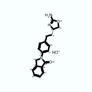 Cl.NC1=N[C@@H](CCc2ccc(N3Cc4ccccc4C3=O)cc2)CO1